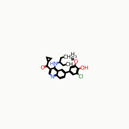 CCC(CC)Nc1c(C(=O)C2CC2)cnc2ccc(-c3cc(Cl)c(O)c(OC)c3)cc12